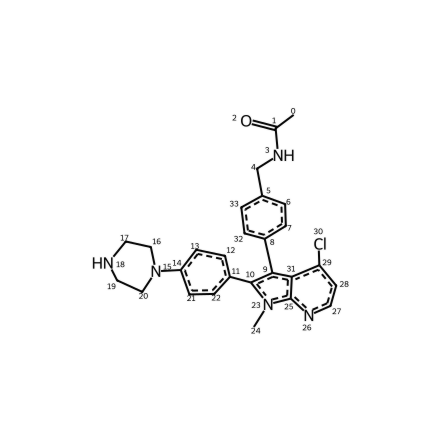 CC(=O)NCc1ccc(-c2c(-c3ccc(N4CCNCC4)cc3)n(C)c3nccc(Cl)c23)cc1